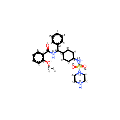 COc1ccccc1C(=O)NC(c1ccccc1)C1CCC(NS(=O)(=O)N2CCNCC2)CC1